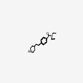 CCN(CC)C(=O)c1ccc(CCC2CCNCC2)cc1